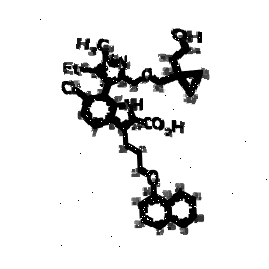 CCc1c(-c2c(Cl)ccc3c(CCCOc4cccc5ccccc45)c(C(=O)O)[nH]c23)c(COCC2(CCO)CC2)nn1C